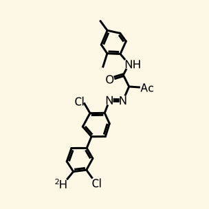 [2H]c1ccc(-c2ccc(N=NC(C(C)=O)C(=O)Nc3ccc(C)cc3C)c(Cl)c2)cc1Cl